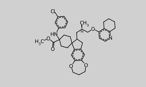 COC(=O)C1(Nc2cccc(Cl)c2)CCC2(CC1)c1cc3c(cc1CC2C[C@@H](C)COc1ccnc2c1CCCC2)OCCCO3